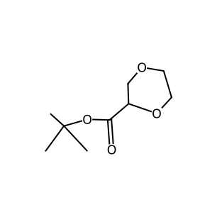 CC(C)(C)OC(=O)C1COCCO1